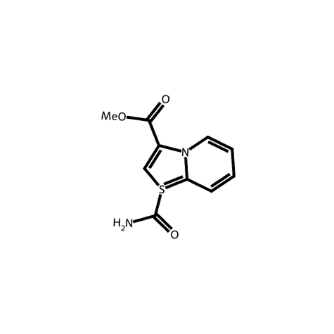 COC(=O)C1=CS(C(N)=O)=C2C=CC=CN12